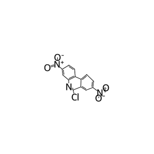 O=[N+]([O-])c1ccc2c(c1)nc(Cl)c1cc([N+](=O)[O-])ccc12